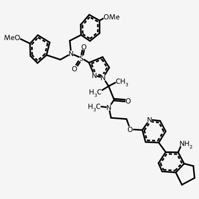 COc1ccc(CN(Cc2ccc(OC)cc2)S(=O)(=O)c2ccn(C(C)(C)C(=O)N(C)CCOc3cc(-c4ccc5c(c4N)CCC5)ccn3)n2)cc1